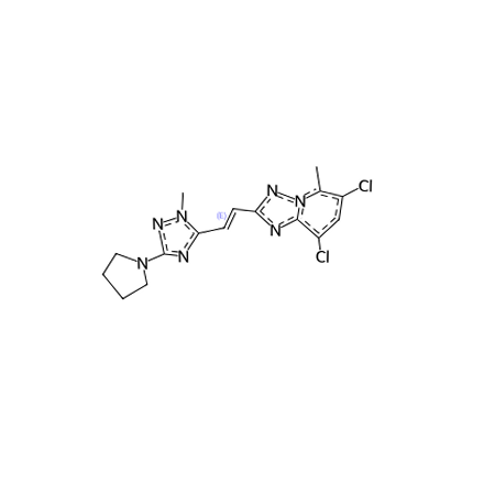 Cc1c(Cl)cc(Cl)c2nc(/C=C/c3nc(N4CCCC4)nn3C)nn12